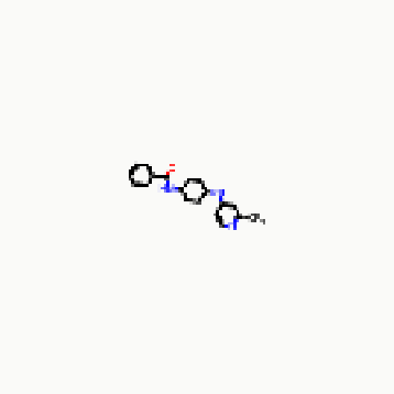 O=C(NC1CCC(Nc2ccnc(C(F)(F)F)c2)CC1)c1ccccc1